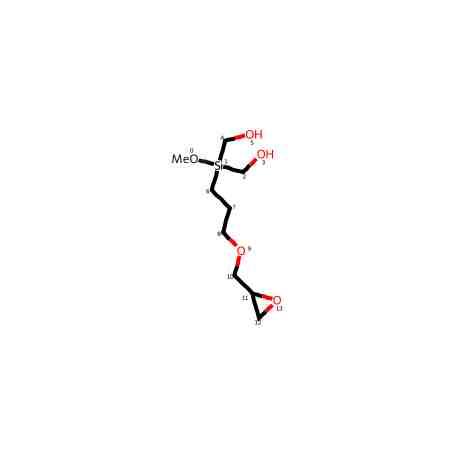 CO[Si](CO)(CO)CCCOCC1CO1